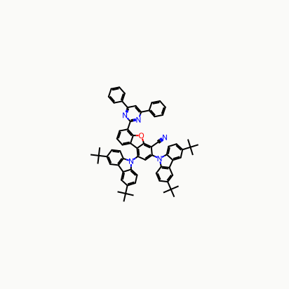 CC(C)(C)c1ccc2c(c1)c1cc(C(C)(C)C)ccc1n2-c1cc(-n2c3ccc(C(C)(C)C)cc3c3cc(C(C)(C)C)ccc32)c2c(oc3c(-c4nc(-c5ccccc5)cc(-c5ccccc5)n4)cccc32)c1C#N